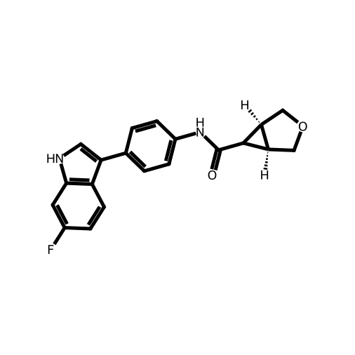 O=C(Nc1ccc(-c2c[nH]c3cc(F)ccc23)cc1)C1[C@H]2COC[C@@H]12